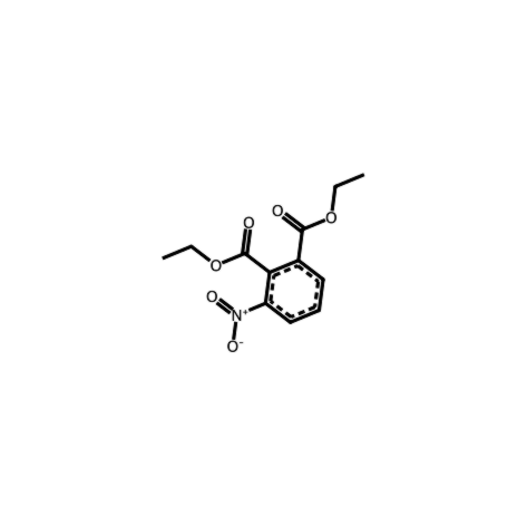 CCOC(=O)c1cccc([N+](=O)[O-])c1C(=O)OCC